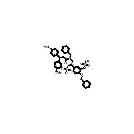 CC[Si](CC)(CC)O[C@@H](CN(Cc1ccccc1)C(C)CC(c1ccc(OC)cc1)c1ccc(OC)cc1)c1ccc(OCc2ccccc2)c(NS(C)(=O)=O)c1